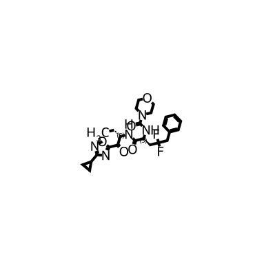 CC[C@H](NC(=O)[C@H](CC(F)(F)Cc1ccccc1)NC(=O)N1CCOCC1)C(=O)c1nc(C2CC2)no1